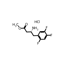 COC(=O)C[C@H](N)Cc1cc(F)c(F)cc1F.Cl